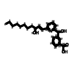 CCCCCCCCC(O)C=Cc1cccc(C(O)c2cccc(C(=O)O)c2)n1